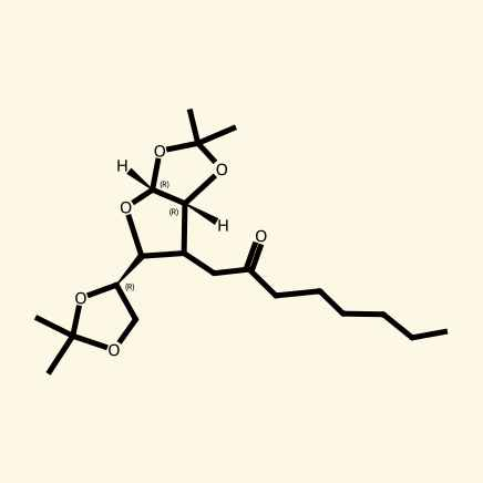 CCCCCCC(=O)CC1C([C@H]2COC(C)(C)O2)O[C@@H]2OC(C)(C)O[C@H]12